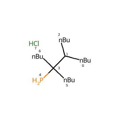 CCCCC(CCCC)C(P)(CCCC)CCCC.Cl